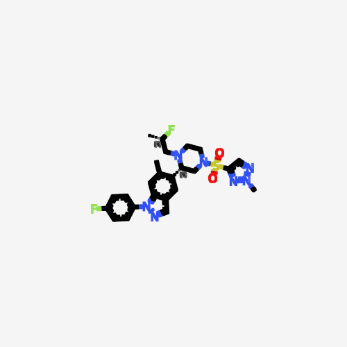 Cc1cc2c(cnn2-c2ccc(F)cc2)cc1[C@H]1CN(S(=O)(=O)c2cnn(C)n2)CCN1C[C@H](C)F